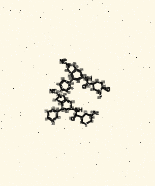 CC(=O)N1CCCC(C(=O)Nc2cc3c(c(-c4ccccc4)c2)CN(C#N)C3)C1.CN1CC(C(=O)Nc2cc3c(c(-c4ccccc4)c2)CN(C#N)C3)CCC1=O